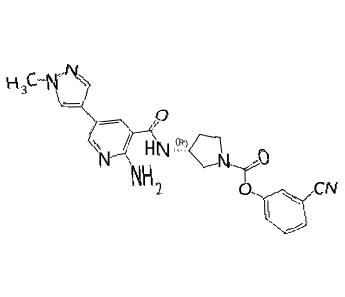 Cn1cc(-c2cnc(N)c(C(=O)N[C@@H]3CCN(C(=O)Oc4cccc(C#N)c4)C3)c2)cn1